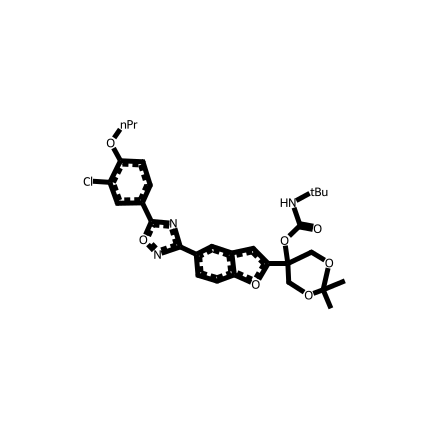 CCCOc1ccc(-c2nc(-c3ccc4oc(C5(OC(=O)NC(C)(C)C)COC(C)(C)OC5)cc4c3)no2)cc1Cl